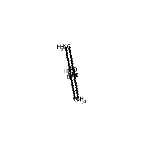 CCCCCCCCCCCCCCCCCC(=O)NCCNC(=O)CCCCCCCCCCCCCCCCC.CCCCCCCCCCCCCCCCCC(=O)NCNC(=O)CCCCCCCCCCCCCCCCC